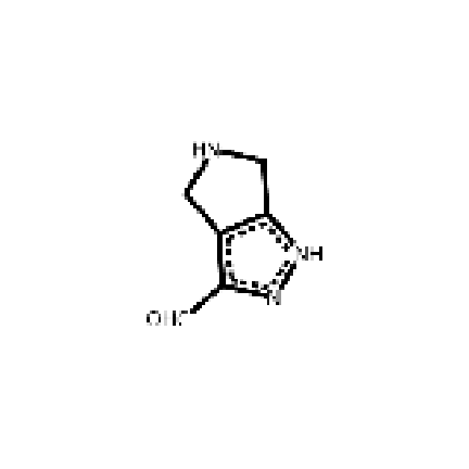 O=Cc1n[nH]c2c1CNC2